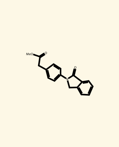 COC(=O)Cc1ccc(N2Cc3ccccc3C2=O)cc1